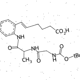 CC(NC(=O)CNC(=O)OC(C)(C)C)C(=O)Nc1ccccc1/C=C/CCCC(=O)O